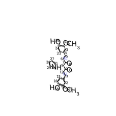 COc1cc(/C=C/C(=O)CC(=O)/C=C/c2ccc(O)c(OC)c2)ccc1O.c1cc[nH]c1